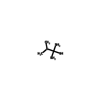 CN(C)C(N)(N)S